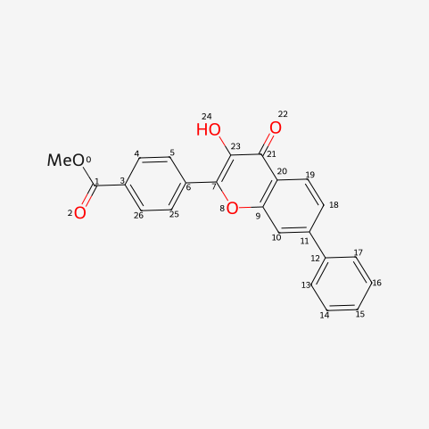 COC(=O)c1ccc(-c2oc3cc(-c4ccccc4)ccc3c(=O)c2O)cc1